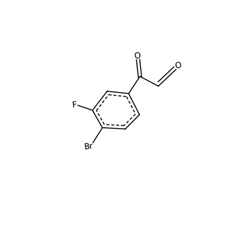 O=CC(=O)c1ccc(Br)c(F)c1